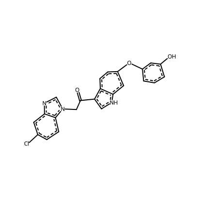 O=C(Cn1cnc2cc(Cl)ccc21)c1c[nH]c2cc(Oc3cccc(O)c3)ccc12